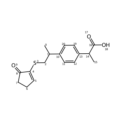 CC(CSC1=CCCC1=O)c1ccc(C(C)C(=O)O)cc1